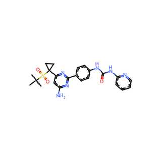 CC(C)(C)S(=O)(=O)C1(c2cc(N)nc(-c3ccc(NC(=O)Nc4ccccn4)cc3)n2)CC1